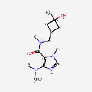 CN(CC1CC(O)(C(F)(F)F)C1)C(=O)c1c(N(C)C=O)ncn1C